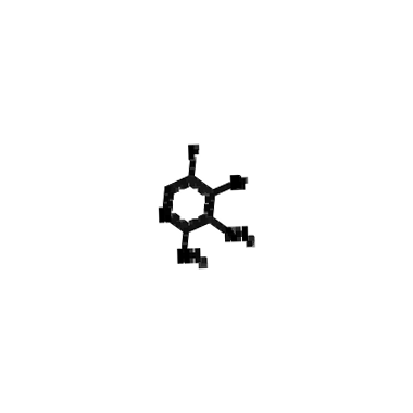 Nc1ncc(F)c(Br)c1N